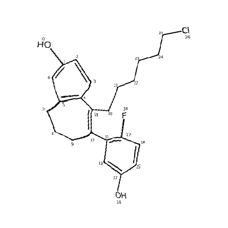 Oc1ccc2c(c1)CCCC(c1cc(O)ccc1F)=C2CCCCCCCl